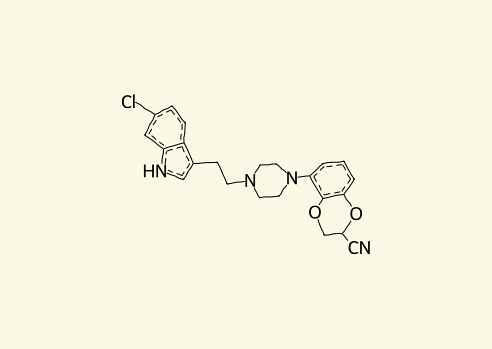 N#CC1COc2c(cccc2N2CCN(CCc3c[nH]c4cc(Cl)ccc34)CC2)O1